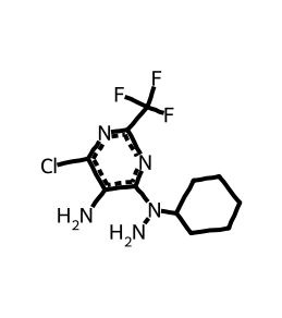 Nc1c(Cl)nc(C(F)(F)F)nc1N(N)C1CCCCC1